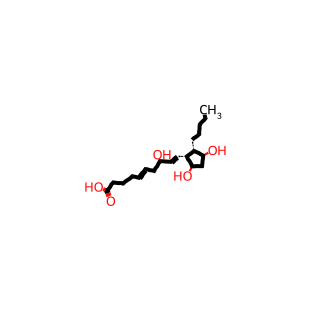 CCCCC[C@H]1[C@@H](C=C[C@@H](O)C/C=C/CCCC(=O)O)[C@H](O)C[C@@H]1O